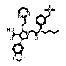 CCCCN(C(=O)CN1C[C@H](c2ccc3c(c2)OCO3)[C@@H](C(=O)O)[C@@H]1CCc1ncccn1)c1cccc(C[N+](C)(C)C)c1